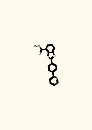 COC(=O)c1cccc2nc(-c3ccc(-c4ccccn4)cc3)oc12